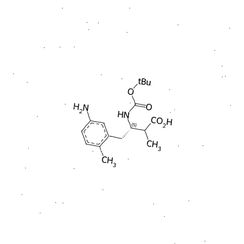 Cc1ccc(N)cc1C[C@H](NC(=O)OC(C)(C)C)C(C)C(=O)O